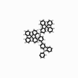 c1ccc(-n2c3ccccc3c3cc(-c4ccc(N(c5ccc6c(c5)-c5ccccc5C6(c5ccccc5)c5ccccc5)c5cccc6c5-c5ccccc5C6(c5ccccc5)c5ccccc5)cc4)ccc32)cc1